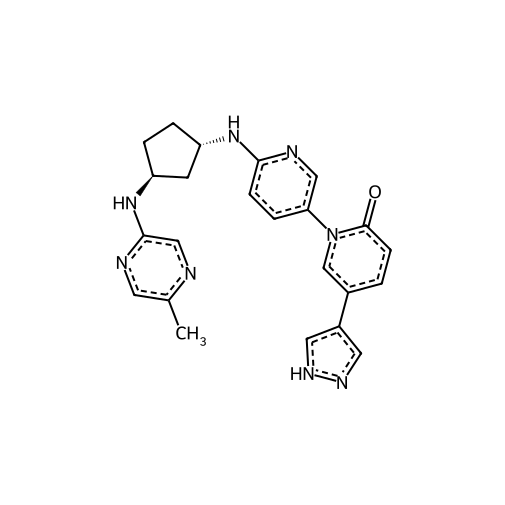 Cc1cnc(N[C@H]2CC[C@H](Nc3ccc(-n4cc(-c5cn[nH]c5)ccc4=O)cn3)C2)cn1